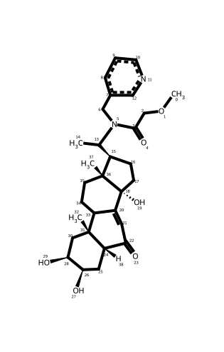 COCC(=O)N(Cc1cccnc1)C(C)[C@H]1CC[C@@]2(O)C3=CC(=O)[C@@H]4C[C@@H](O)[C@@H](O)C[C@]4(C)C3CC[C@]12C